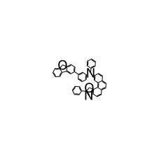 c1ccc(-c2nc3ccc4ccc5ccc(N(c6ccccc6)c6cccc(-c7ccc8oc9ccccc9c8c7)c6)cc5c4c3o2)cc1